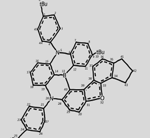 CC(C)(C)c1ccc(N2c3ccc(C(C)(C)C)cc3B3c4c2cccc4N(c2ccc(C(C)(C)C)cc2)c2ccc4oc5c6c(ccc5c4c23)CCC6)cc1